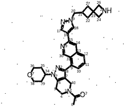 CC(=O)N1CCc2c(c(-c3cccc4cc(-c5cnn(CC6CC7(CNC7)C6)c5)ncc34)nn2C2CCOCC2)C1